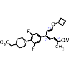 CO/C(C)=C/C=C(\C=C\OC1CCC1)c1cc(F)c(N2CCC(CC(=O)O)CC2)c(F)c1